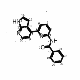 O=C(Nc1cccc(-c2ccnc3[nH]ccc23)n1)c1ccccc1